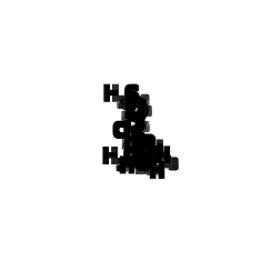 Cc1ccc(C[C@@H](Cl)B2O[C@@H]3C[C@@H]4C[C@@H](C4(C)C)[C@]3(C)O2)cc1